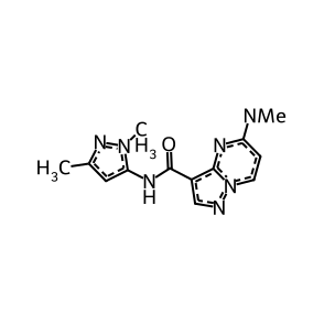 CNc1ccn2ncc(C(=O)Nc3cc(C)nn3C)c2n1